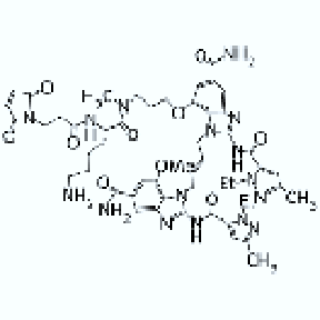 CCn1nc(C)cc1C(=O)Nc1nc2cc(C(N)=O)cc(OC)c2n1C/C=C/Cn1c(NC(=O)c2cc(C)nn2CC)nc2cc(C(N)=O)cc(OCCCN(C)C(=O)[C@H](CCCCN)NC(=O)CCN3C(=O)C=CC3=O)c21